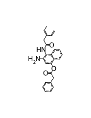 C=C/C(=C\C)CC(=O)Nc1c(N)cc(OC(=O)Cc2ccccc2)c2ccccc12